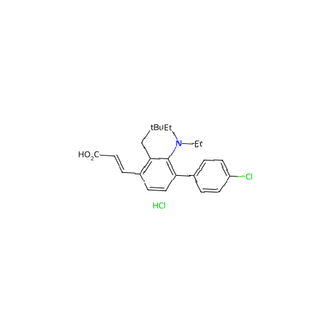 CCN(CC)c1c(-c2ccc(Cl)cc2)ccc(C=CC(=O)O)c1CC(C)(C)C.Cl